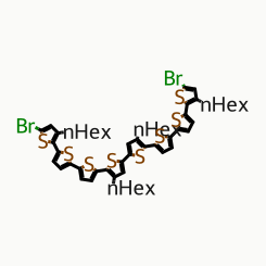 CCCCCCc1cc(Br)sc1-c1ccc(-c2ccc(-c3sc(-c4cc(CCCCCC)c(-c5ccc(-c6ccc(-c7sc(Br)cc7CCCCCC)s6)s5)s4)cc3CCCCCC)s2)s1